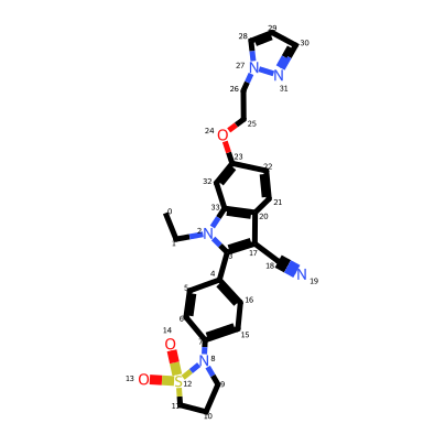 CCn1c(-c2ccc(N3CCCS3(=O)=O)cc2)c(C#N)c2ccc(OCCn3cccn3)cc21